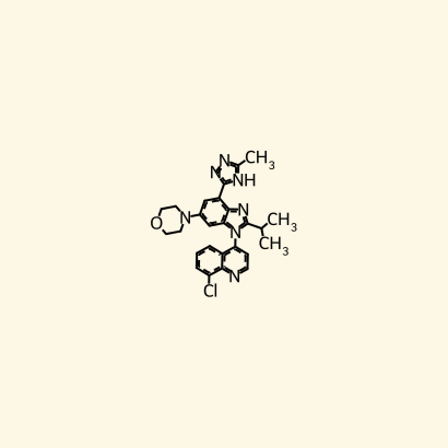 Cc1nnc(-c2cc(N3CCOCC3)cc3c2nc(C(C)C)n3-c2ccnc3c(Cl)cccc23)[nH]1